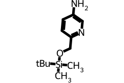 CC(C)(C)[Si](C)(C)OCc1ccc(N)cn1